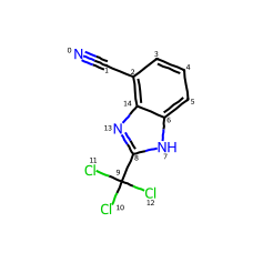 N#Cc1cccc2[nH]c(C(Cl)(Cl)Cl)nc12